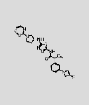 COC(C(=O)Nc1nnc(N[C@@H]2CCN(c3nccnn3)C2)s1)c1cccc(N2CC(F)C2)c1